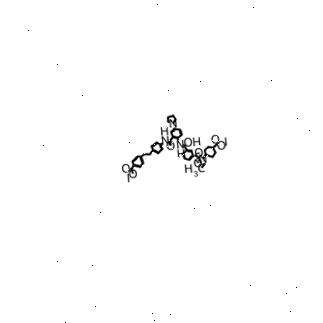 CCN(C1CCC(C(=O)OI)CC1)S(=O)(=O)c1cccc(C(O)Nc2ccc(N3CCCC3)cc2C(=O)Nc2ccc(CCc3ccc(C(=O)OI)cc3)cc2)c1